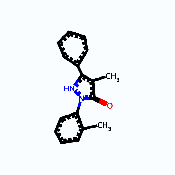 Cc1ccccc1-n1[nH]c(-c2ccccc2)c(C)c1=O